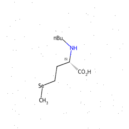 CCCCN[C@@H](CC[Se]C)C(=O)O